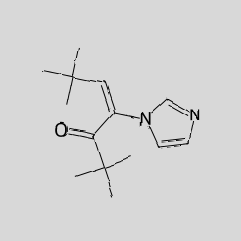 CC(C)(C)C=C(C(=O)C(C)(C)C)n1ccnc1